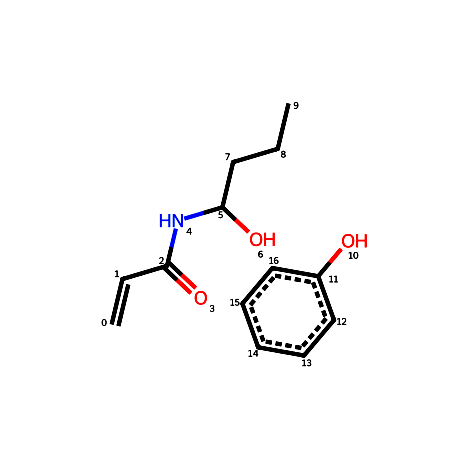 C=CC(=O)NC(O)CCC.Oc1ccccc1